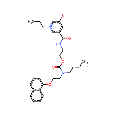 CCCCN(CCOc1cccc2ccccc12)C(=O)OCCNC(=O)c1cc(Br)c[n+](CCC)c1.[I-]